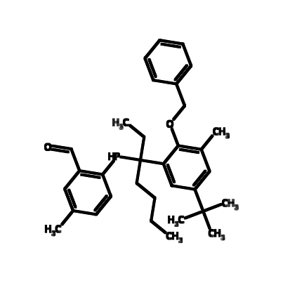 CCCCC(CC)(Pc1ccc(C)cc1C=O)c1cc(C(C)(C)C)cc(C)c1OCc1ccccc1